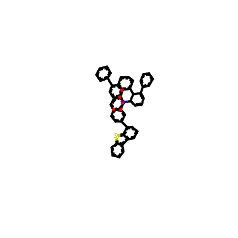 C1=CC(N(c2ccc(-c3ccccc3)cc2)c2cccc(-c3cccc4c3sc3ccccc34)c2)C(c2ccccc2-c2ccccc2)C(c2ccccc2)=C1